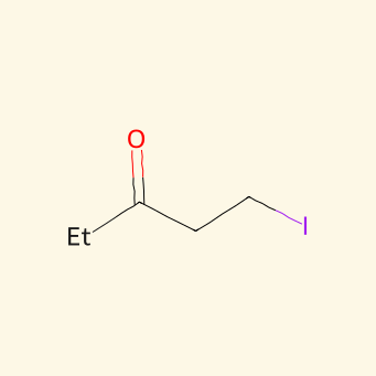 CCC(=O)CCI